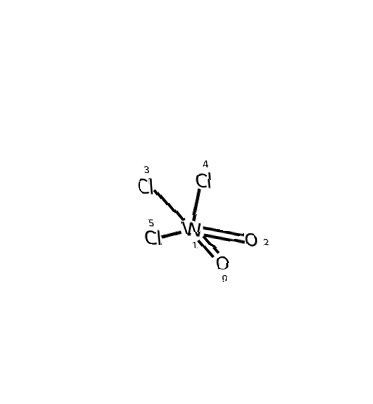 [O]=[W](=[O])([Cl])([Cl])[Cl]